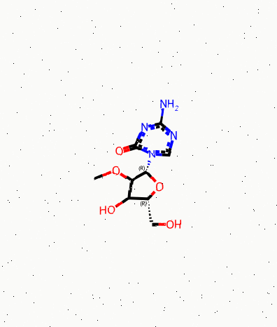 COC1C(O)[C@@H](CO)O[C@H]1n1cnc(N)nc1=O